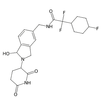 O=C1CCC(N2Cc3cc(CNC(=O)C(F)(F)C4CCC(F)CC4)ccc3C2O)C(=O)N1